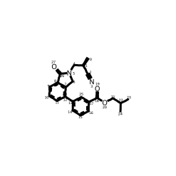 C=C(C#N)CN1Cc2c(cccc2-c2cccc(C(=O)OCC(C)C)c2)C1=O